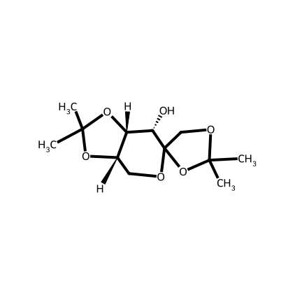 CC1(C)O[C@H]2[C@H](COC3(COC(C)(C)O3)[C@H]2O)O1